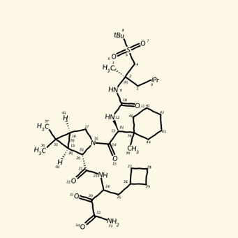 CC(C)C[C@](C)(CS(=O)(=O)C(C)(C)C)NC(=O)N[C@H](C(=O)N1C[C@H]2[C@@H]([C@H]1C(=O)NC(CC1CCC1)C(=O)C(N)=O)C2(C)C)C1(C)CCCCC1